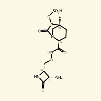 N[C@@H]1C(=O)N[C@@H]1CONC(=O)[C@@H]1CC[C@@H]2CN1C(=O)N2OS(=O)(=O)O